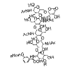 CCCCCCCCCOc1cccc(C(=O)NC2C(O[C@@H]3C(CO)OC(OC4C(CO)O[C@@H](O[C@@H]5C(CO)OC(OC6C(CO[C@@H]7OC8OC8C(O)C7OC)O[C@@H](O)[C@@H](NC(C)=O)[C@@H]6O)C(NC(C)=O)C5O)[C@@H](NC(C)=O)[C@@H]4O)C(NC(C)=O)C3O)OC(CO)[C@@H](O)C2O)c1